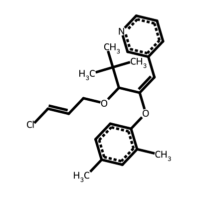 Cc1ccc(OC(=Cc2cccnc2)C(OCC=CCl)C(C)(C)C)c(C)c1